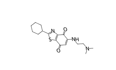 CN(C)CCNC1=CC(=O)c2sc(C3CCCCC3)nc2C1=O